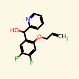 C=CCOc1cc(F)c(F)cc1C(O)c1ccccn1